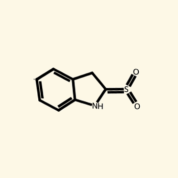 O=S(=O)=C1Cc2c[c]ccc2N1